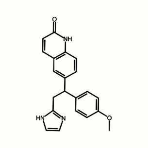 COc1ccc(C(Cc2ncc[nH]2)c2ccc3[nH]c(=O)ccc3c2)cc1